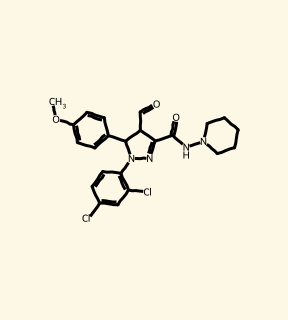 COc1ccc(C2C(C=O)C(C(=O)NN3CCCCC3)=NN2c2ccc(Cl)cc2Cl)cc1